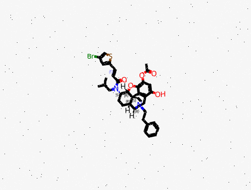 CC(=O)Oc1cc(O)c2c3c1O[C@H]1[C@@H](N(CC(C)C)C(=O)/C=C/c4cc(Br)cs4)CC[C@H]4[C@@H](C2)N(CCc2ccccc2)CC[C@@]341